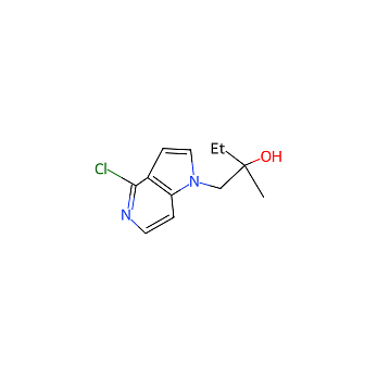 CCC(C)(O)Cn1ccc2c(Cl)nccc21